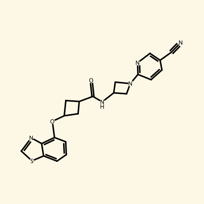 N#Cc1ccc(N2CC(NC(=O)C3CC(Oc4cccc5scnc45)C3)C2)nc1